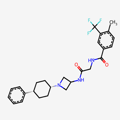 Cc1ccc(C(=O)NCC(=O)NC2CN([C@H]3CC[C@@H](c4ccccc4)CC3)C2)cc1C(F)(F)F